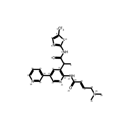 CC(C(=O)Nc1ncc(C(F)(F)F)s1)c1cc(-c2cccnc2)cnc1NC(=O)/C=C/CN(C)C